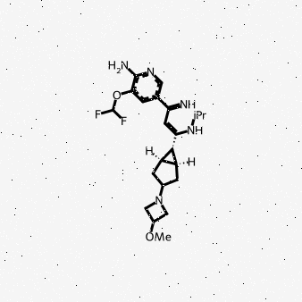 COC1CN(C2C[C@@H]3[C@H](C2)[C@H]3/C(=C/C(=N)c2cnc(N)c(OC(F)F)c2)NC(C)C)C1